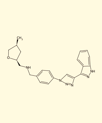 C[C@@H]1CO[C@H](CNCc2ccc(-n3cc(-c4n[nH]c5ccccc45)nn3)cc2)C1